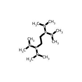 CN(C)P(CCP(N(C)C)N(C)C)N(C)C